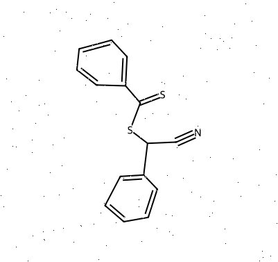 N#CC(SC(=S)c1ccccc1)c1ccccc1